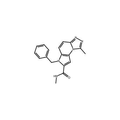 CNC(=O)c1cc2c(ccc3nnc(C)n32)n1Cc1ccccc1